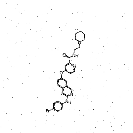 O=C(NCCN1CCCCC1)c1cc(Oc2ccc3nc(Nc4ccc(Br)cc4)ncc3c2)ccn1